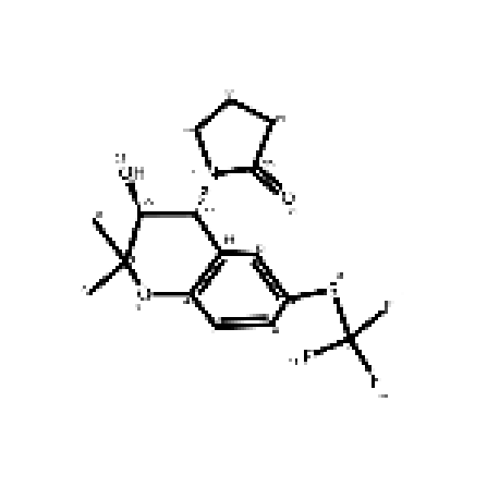 CC1(C)Oc2ccc(SC(F)(F)F)cc2[C@@H](N2CCCC2=O)[C@@H]1O